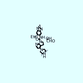 CCOc1cc2nn(C)nc2cc1NC(=O)N1CCc2c(N3C[C@@H](C)N[C@@H](C)C3)ccnc21.O=CO